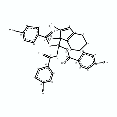 CC1=CC2=C(CCCC2)[C]1(C)[Ti]([O]C(=O)c1ccc(F)cc1)([O]C(=O)c1ccc(F)cc1)[O]C(=O)c1ccc(F)cc1